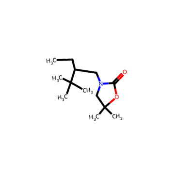 CCC(CN1CC(C)(C)OC1=O)C(C)(C)C